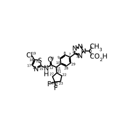 CC(C(=O)O)n1nnc(-c2ccc(C(C(=O)Nc3ncc(Cl)s3)C3CCC(F)(F)C3)cc2)n1